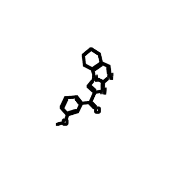 COc1cccc(C(=O)c2cn3c4c(cnc3n2)CCCC4)c1